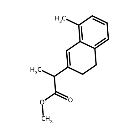 COC(=O)C(C)C1=Cc2c(C)cccc2CC1